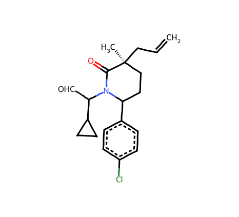 C=CC[C@@]1(C)CCC(c2ccc(Cl)cc2)N(C(C=O)C2CC2)C1=O